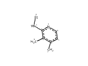 CCNc1nccc(C)c1C